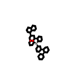 c1ccc(-c2ccccc2-c2cccc(N(c3ccccc3)c3ccccc3-c3cccc(-c4cccc5ccccc45)c3)c2)cc1